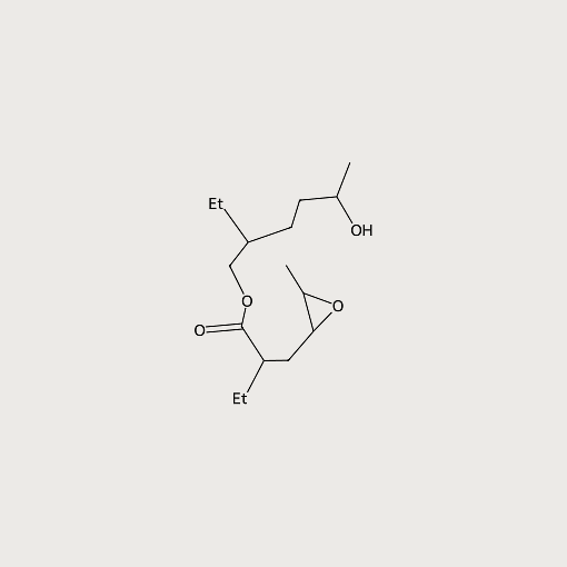 CCC(CCC(C)O)COC(=O)C(CC)CC1OC1C